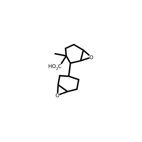 CC1(C(=O)O)CCC2OC2C1C1CCC2OC2C1